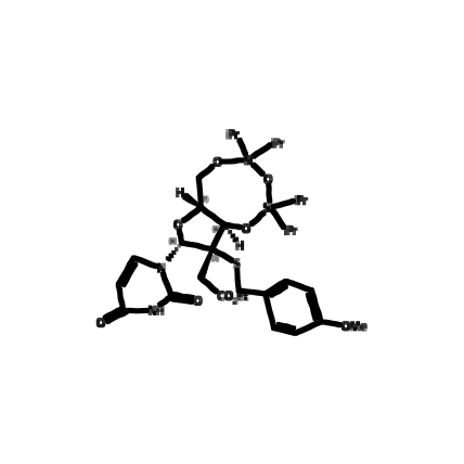 CCOC(=O)C[C@]1(SCc2ccc(OC)cc2)[C@@H]2O[Si](C(C)C)(C(C)C)O[Si](C(C)C)(C(C)C)OC[C@H]2O[C@H]1n1ccc(=O)[nH]c1=O